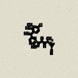 CNc1cc(Cl)ccc1C(=N)c1cnc2[nH]cc(C(=O)N[C@H](C)B3C[C@H]3C#N)c2n1